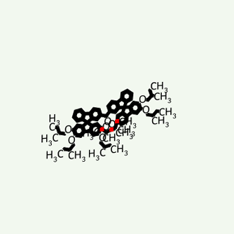 CCC(C)COc1cc2c(cc1C)-c1cc(OCC(C)CC)c(OCC(C)CC)cc1C21c2ccccc2-c2ccc(C(=O)c3ccc4c(c3)C3(c5ccccc5-4)c4cc(OCC(C)CC)c(OCC(C)CC)cc4-c4cc(OCC(C)CC)c(OCC(C)CC)cc43)cc21